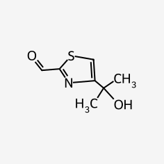 CC(C)(O)c1csc(C=O)n1